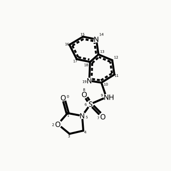 O=C1OCCN1S(=O)(=O)Nc1ccc2ncccc2n1